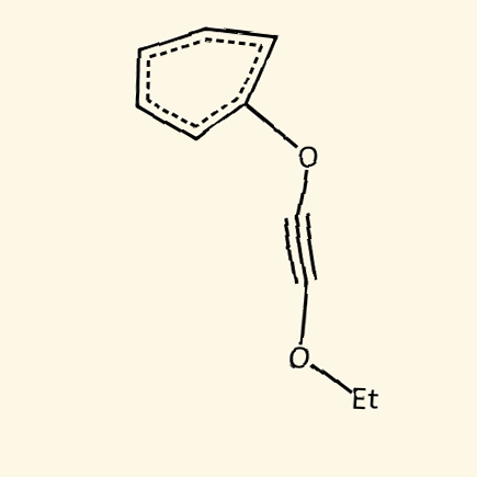 CCOC#COc1ccccc1